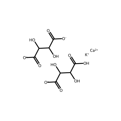 O=C([O-])C(O)C(O)C(=O)O.O=C([O-])C(O)C(O)C(=O)[O-].[Ca+2].[K+]